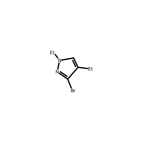 CCc1cn(CC)nc1Br